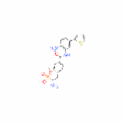 COP(=O)(OC)C(N)Cc1ccc(C(=O)Nc2cc(-c3cccs3)ccc2N)cc1